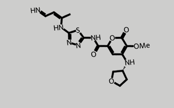 COc1c(N[C@@H]2CCOC2)cc(C(=O)Nc2nnc(N/C(C)=C\C=N)s2)oc1=O